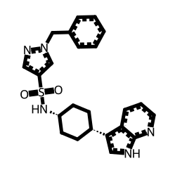 O=S(=O)(N[C@H]1CC[C@@H](c2c[nH]c3ncccc32)CC1)c1cnn(Cc2ccccc2)c1